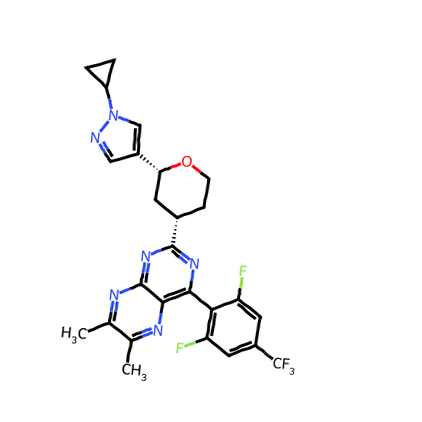 Cc1nc2nc([C@H]3CCO[C@@H](c4cnn(C5CC5)c4)C3)nc(-c3c(F)cc(C(F)(F)F)cc3F)c2nc1C